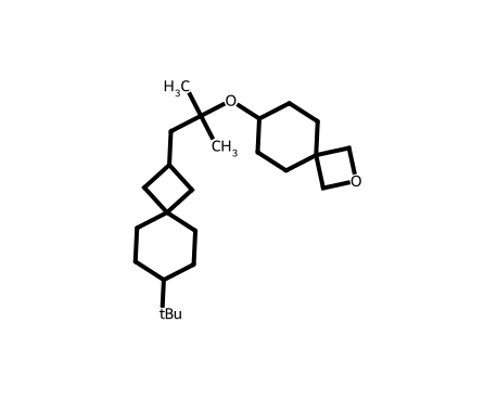 CC(C)(CC1CC2(CCC(C(C)(C)C)CC2)C1)OC1CCC2(CC1)COC2